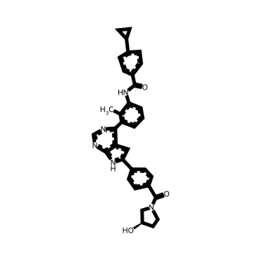 Cc1c(NC(=O)c2ccc(C3CC3)cc2)cccc1-c1ncnc2[nH]c(-c3ccc(C(=O)N4CC[C@@H](O)C4)cc3)cc12